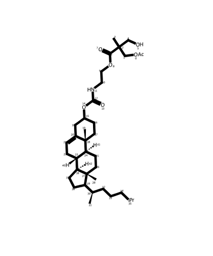 CC(=O)OCC(C)(CO)C(=O)OCCNC(=O)OC1CC[C@@]2(C)C(=CC[C@@H]3[C@@H]2CC[C@]2(C)C([C@H](C)CCCC(C)C)CC[C@@H]32)C1